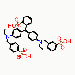 CCN(Cc1ccc(S(=O)(=O)O)cc1)c1ccc(C(=C2C=CC(=[N+](CC)Cc3cccc(S(=O)(=O)O)c3)C=C2)c2ccccc2S(=O)(=O)O)cc1